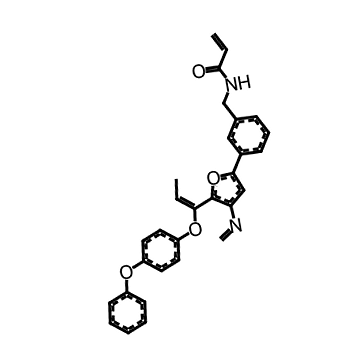 C=CC(=O)NCc1cccc(-c2cc(N=C)c(/C(=C\C)Oc3ccc(Oc4ccccc4)cc3)o2)c1